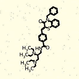 CCN(CC)CC(CNC(=O)c1ccc(C=C2Sc3ccccc3N(Cc3ccccc3)C2=O)cc1)N(CC)CC